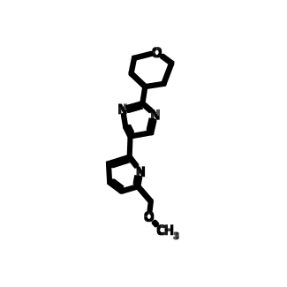 COCc1cccc(-c2cnc(C3CCOCC3)nc2)n1